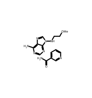 COCCNn1cnc2c(N)ncnc21.NC(=O)c1cccnc1